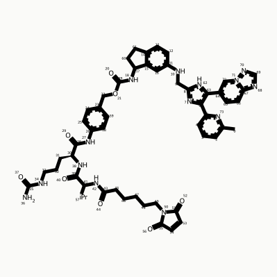 Cc1cccc(-c2nc(CNc3ccc4c(c3)C(NC(=O)OCc3ccc(NC(=O)[C@H](CCCNC(N)=O)NC(=O)C(NC(=O)CCCCCN5C(=O)C=CC5=O)C(C)C)cc3)CC4)[nH]c2-c2ccc3ncnn3c2)n1